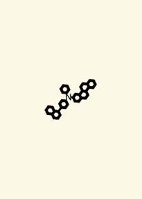 c1ccc(N(c2ccc(-c3cccc4ccccc34)cc2)c2ccc3ccc4c5ccccc5ccc4c3c2)cc1